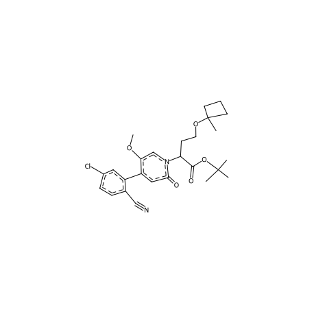 COc1cn(C(CCOC2(C)CCC2)C(=O)OC(C)(C)C)c(=O)cc1-c1cc(Cl)ccc1C#N